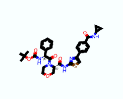 CC(C)(C)OC(=O)N[C@@H](C(=O)N1CCOC[C@H]1C(=O)Nc1nc(-c2ccc(C(=O)NC3CC3)cc2)cs1)c1ccccc1